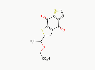 CC(OCC(=O)O)C1CC2=C(S1)C(=O)c1sccc1C2=O